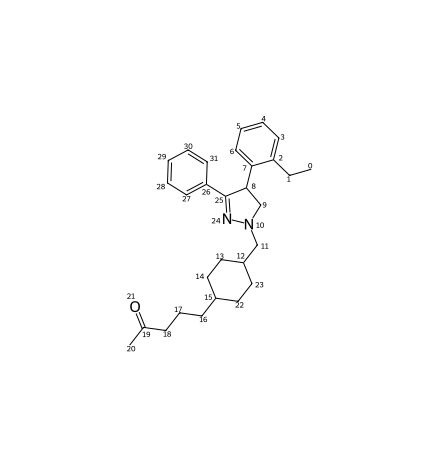 CCc1ccccc1C1CN(CC2CCC(CCCC(C)=O)CC2)N=C1c1ccccc1